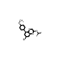 COc1ccc(-c2cc(Br)cc3nc(OC(F)F)cnc23)cc1